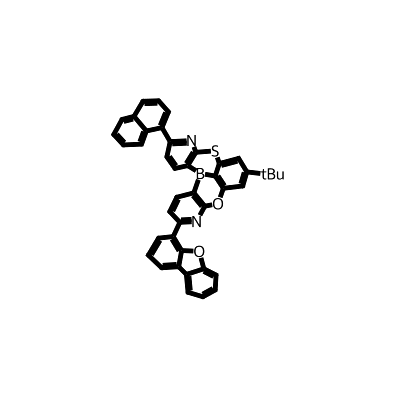 CC(C)(C)c1cc2c3c(c1)Sc1nc(-c4cccc5ccccc45)ccc1B3c1ccc(-c3cccc4c3oc3ccccc34)nc1O2